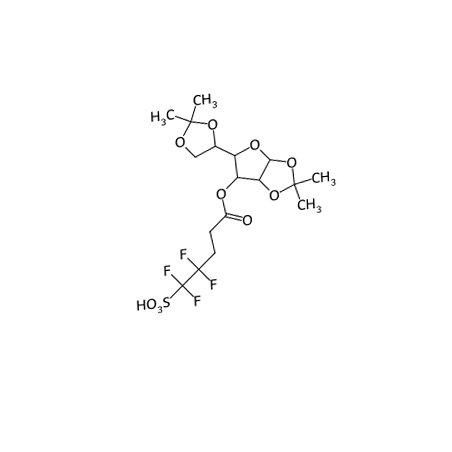 CC1(C)OCC(C2OC3OC(C)(C)OC3C2OC(=O)CCC(F)(F)C(F)(F)S(=O)(=O)O)O1